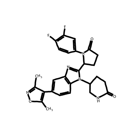 Cc1noc(C)c1-c1ccc2c(c1)nc(C1CCC(=O)N1c1ccc(F)c(F)c1)n2C1CCC(=O)NC1